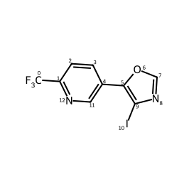 FC(F)(F)c1ccc(-c2ocnc2I)cn1